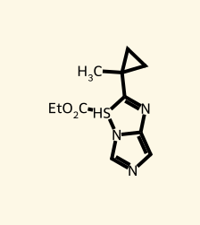 CCOC(=O)[SH]1C(C2(C)CC2)=Nc2cncn21